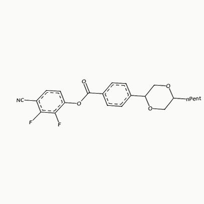 CCCCCC1COC(c2ccc(C(=O)Oc3ccc(C#N)c(F)c3F)cc2)CO1